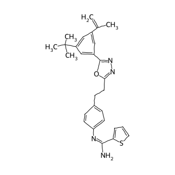 C=C(C)c1cc(-c2nnc(CCc3ccc(/N=C(/N)c4cccs4)cc3)o2)cc(C(C)(C)C)c1